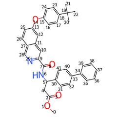 COC(=O)CC(NC(=O)c1cc2cc(Oc3ccc(C(C)(C)C)cc3)ccc2cn1)c1ccc(-c2ccccc2)cc1